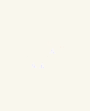 O=C1COCCN1c1ccc2c(Cl)ncnc2c1